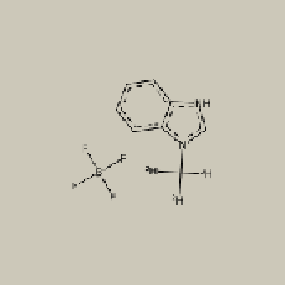 F[B-](F)(F)F.[2H]C([2H])([2H])[n+]1c[nH]c2ccccc21